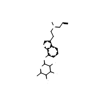 C=CCN(C)CCc1c[nH]c2c(OC3OC(C)C(O)C(O)C3O)cccc12